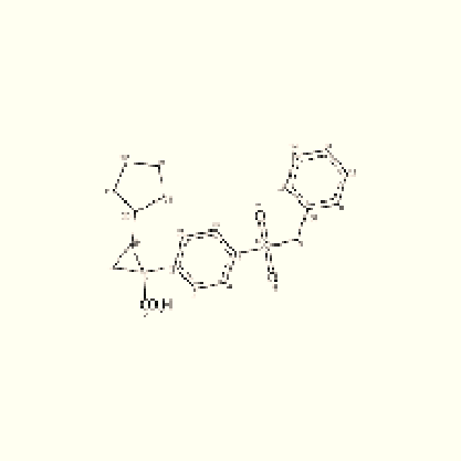 O=C(O)C1(c2ccc(S(=O)(=O)Cc3cccnc3)cc2)CC1C1CCCC1